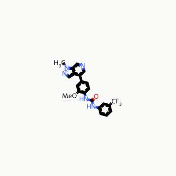 COc1cc(-c2cncc3c2cnn3C)ccc1NC(=O)Nc1cccc(C(F)(F)F)c1